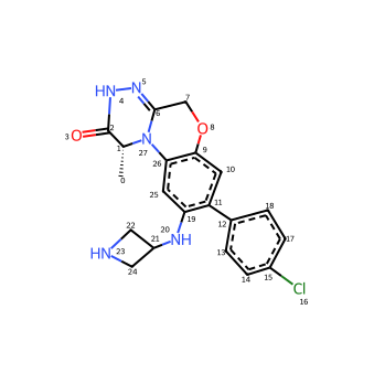 C[C@@H]1C(=O)NN=C2COc3cc(-c4ccc(Cl)cc4)c(NC4CNC4)cc3N21